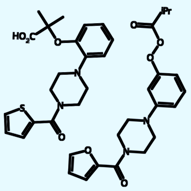 CC(C)(Oc1ccccc1N1CCN(C(=O)c2cccs2)CC1)C(=O)O.CC(C)C(=O)OOc1cccc(N2CCN(C(=O)c3ccco3)CC2)c1